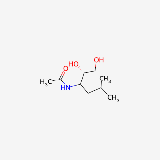 CC(=O)NC(CC(C)C)[C@H](O)CO